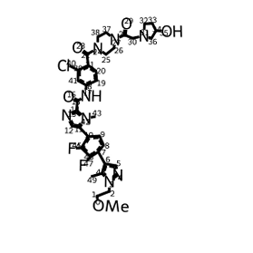 COCCn1ncc(-c2ccc(-c3cnc(C(=O)Nc4ccc(C(=O)N5CCN(C(=O)CN6CCC(O)C6)CC5)c(Cl)c4)n3C)c(F)c2F)c1C